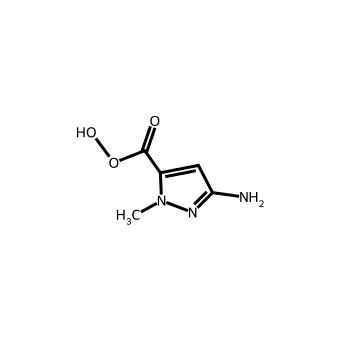 Cn1nc(N)cc1C(=O)OO